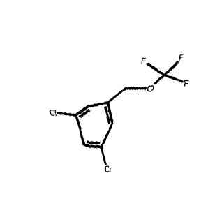 FC(F)(F)OCc1cc(Cl)cc(Cl)c1